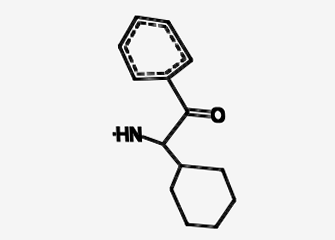 [NH]C(C(=O)c1ccccc1)C1CCCCC1